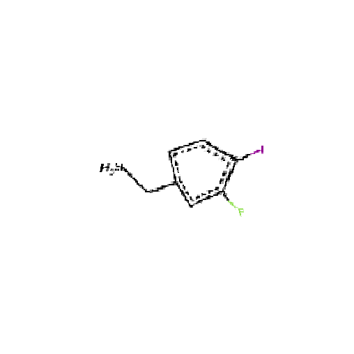 Fc1cc(C[SiH3])ccc1I